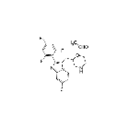 CC=O.Fc1cc(Br)cc(F)c1-c1nc2cc(Cl)ccn2c1CC1CNCCO1